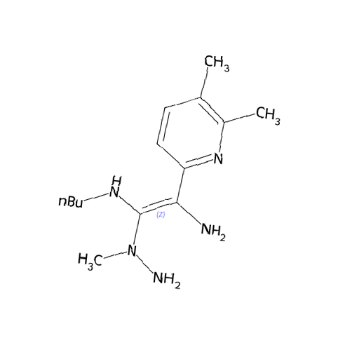 CCCCN/C(=C(/N)c1ccc(C)c(C)n1)N(C)N